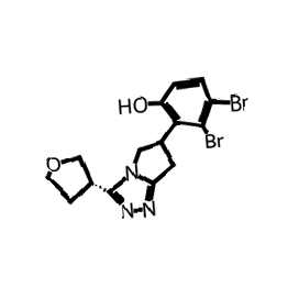 Oc1ccc(Br)c(Br)c1C1Cc2nnc([C@@H]3CCOC3)n2C1